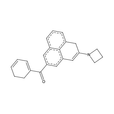 O=C(C1=CC=CCC1)c1cc2c3c(cccc3c1)CC(N1CCC1)=C2